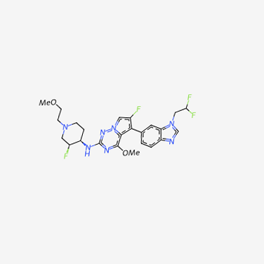 COCCN1CC[C@@H](Nc2nc(OC)c3c(-c4ccc5ncn(CC(F)F)c5c4)c(F)cn3n2)[C@@H](F)C1